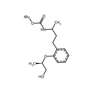 CC(CCc1ccccc1O[C@H](C)CO)NC(=O)OC(C)(C)C